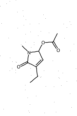 CCC1=CC(OC(C)=O)N(C)C1=O